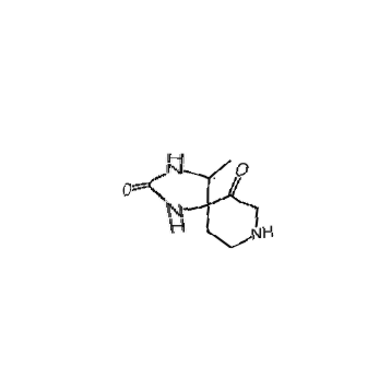 C[C]1NC(=O)NC12CCNCC2=O